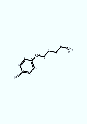 CC(C)c1ccc(OCCCCC(F)(F)F)cc1